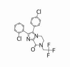 O=C1c2nc(-c3ccccc3Cl)c(-c3ccc(Cl)cc3)n2CCN1CC(F)(F)F